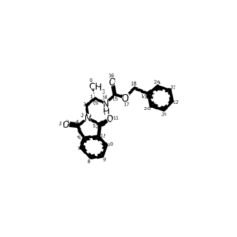 C[C@@H](CN1C(=O)c2ccccc2C1=O)NC(=O)OCc1ccccc1